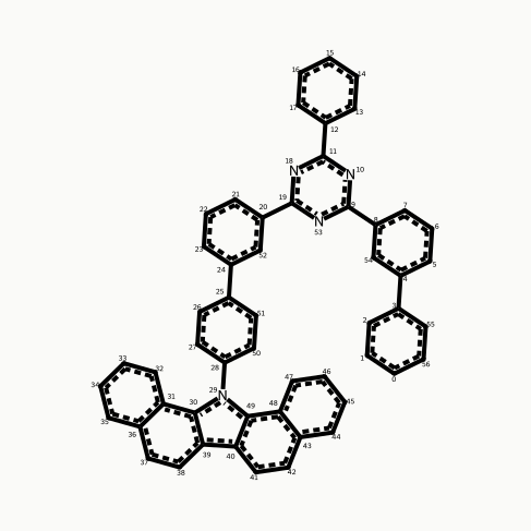 c1ccc(-c2cccc(-c3nc(-c4ccccc4)nc(-c4cccc(-c5ccc(-n6c7c8ccccc8ccc7c7ccc8ccccc8c76)cc5)c4)n3)c2)cc1